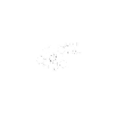 COc1cc(-n2c(-c3ccccc3O)nc(-c3ccccc3O)c2C2CC2)ccc1C(=O)O